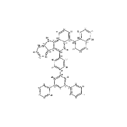 c1ccc(-c2cc(-c3ccccc3)nc(-c3ccc(-c4nc5c(-c6cccc7ccccc67)cccc5c5sc6ccccc6c45)cc3)n2)cc1